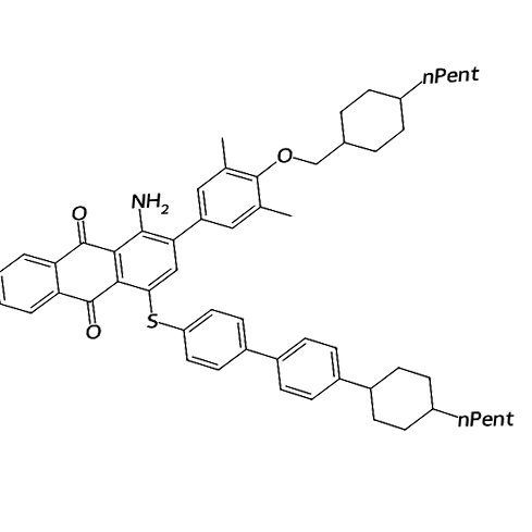 CCCCCC1CCC(COc2c(C)cc(-c3cc(Sc4ccc(-c5ccc(C6CCC(CCCCC)CC6)cc5)cc4)c4c(c3N)C(=O)c3ccccc3C4=O)cc2C)CC1